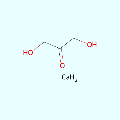 O=C(CO)CO.[CaH2]